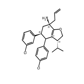 C=CC[C@@]1(N)C[C@H](c2cccc(Cl)c2)C(c2ccc(Cl)cc2)[N+]2=C1OC[C@@H]2C(C)C